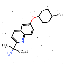 CCOC(=O)C(C)(N)c1ccc2cc(OC3CCC(C(C)(C)C)CC3)ccc2n1